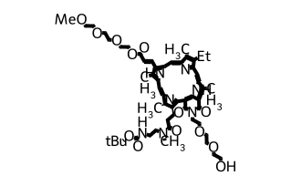 CCC1=C(C)c2cc3[nH]c(cc4nc(c5c6[nH]c(cc1n2)c(C)c6C(=O)N(CCOCCOCCO)C5=O)[C@@H](CCC(=O)N(C)CCNC(=O)OC(C)(C)C)[C@@H]4C)c(C)c3/C=C/C(=O)OCCOCCOCCOC